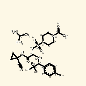 CC(C)N.N#CC1(NC(=O)[C@H](CS(=O)(=O)N2CCN(C(=O)O)CC2)N[C@@H](c2ccc(F)cc2)C(F)(F)F)CC1